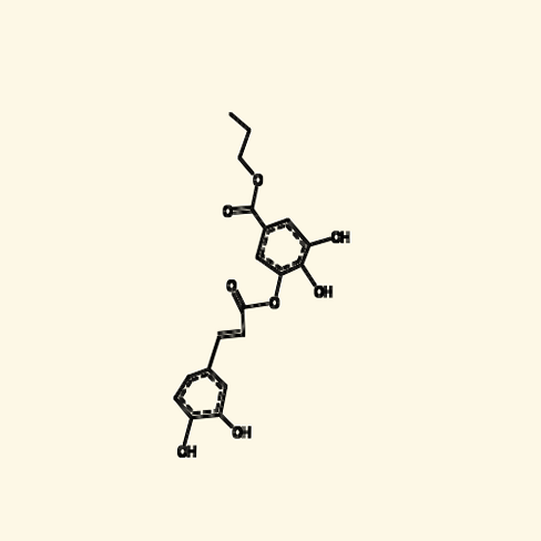 CCCOC(=O)c1cc(O)c(O)c(OC(=O)C=Cc2ccc(O)c(O)c2)c1